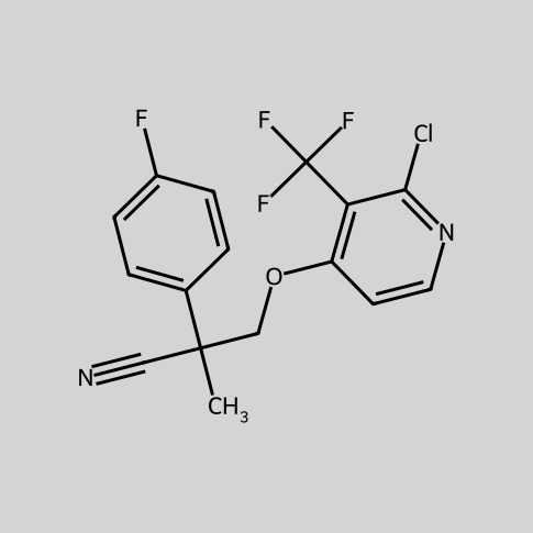 CC(C#N)(COc1ccnc(Cl)c1C(F)(F)F)c1ccc(F)cc1